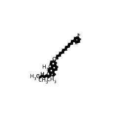 CC(C)CCC[C@@H](C)[C@H]1CCC2C3CC=C4CC(OCCCCCCCCCCCCc5cccc(I)c5)CC[C@]4(C)C3CC[C@@]21C